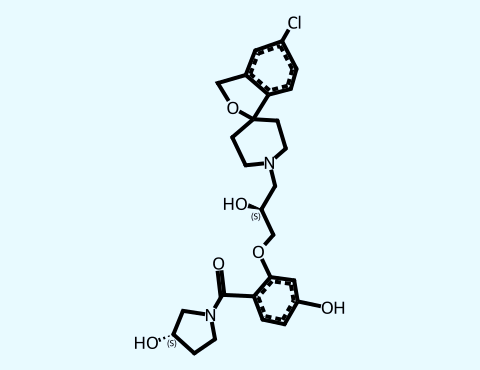 O=C(c1ccc(O)cc1OC[C@@H](O)CN1CCC2(CC1)OCc1cc(Cl)ccc12)N1CC[C@H](O)C1